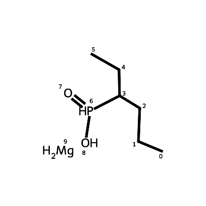 CCCC(CC)[PH](=O)O.[MgH2]